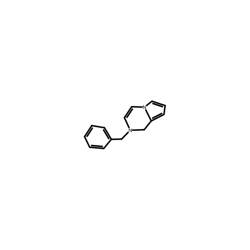 C1=Cn2cccc2CN1Cc1ccccc1